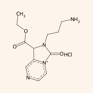 CCOC(=O)C1c2cncc[n+]2C(=O)N1CCCN.Cl